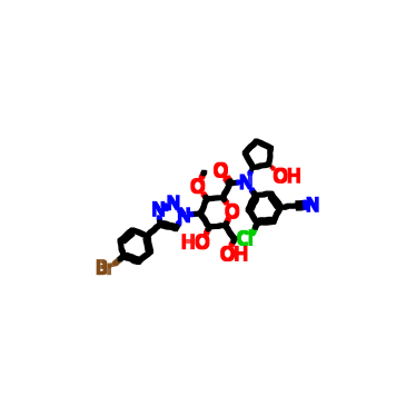 COC1C(C(=O)N(c2cc(Cl)cc(C#N)c2)[C@H]2CCC[C@@H]2O)OC(CO)C(O)C1n1cc(-c2ccc(Br)cc2)nn1